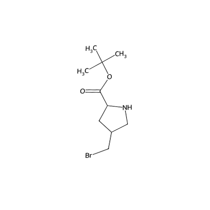 CC(C)(C)OC(=O)C1CC(CBr)CN1